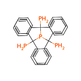 PC(c1ccccc1)(c1ccccc1)P(C(P)(c1ccccc1)c1ccccc1)C(P)(c1ccccc1)c1ccccc1